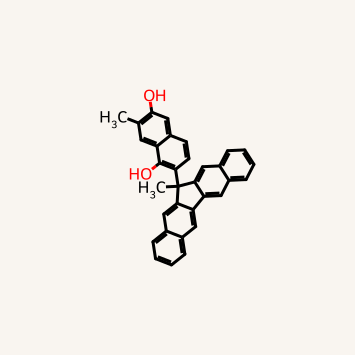 Cc1cc2c(O)c(C3(C)c4cc5ccccc5cc4-c4cc5ccccc5cc43)ccc2cc1O